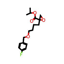 CC(C)OC(=O)C1(CCCCOCc2ccc(F)cc2)CO1